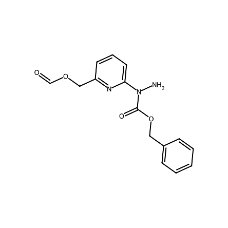 NN(C(=O)OCc1ccccc1)c1cccc(COC=O)n1